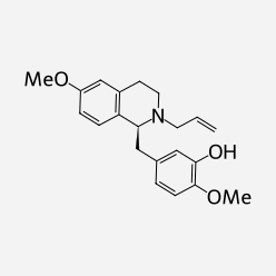 C=CCN1CCc2cc(OC)ccc2[C@@H]1Cc1ccc(OC)c(O)c1